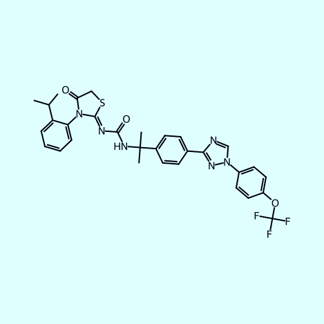 CC(C)c1ccccc1N1C(=O)CS/C1=N\C(=O)NC(C)(C)c1ccc(-c2ncn(-c3ccc(OC(F)(F)F)cc3)n2)cc1